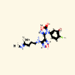 C/N=C(/CCCNc1nonc1-c1noc(=O)n1-c1ccc(F)c(Br)c1)OC